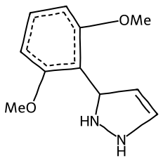 COc1cccc(OC)c1C1C=CNN1